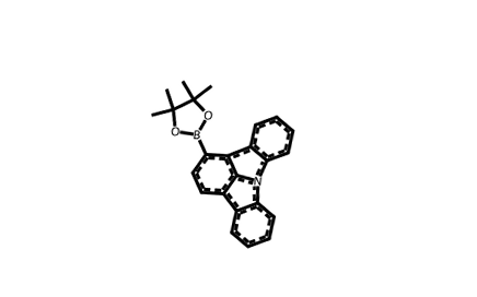 CC1(C)OB(c2ccc3c4ccccc4n4c5ccccc5c2c34)OC1(C)C